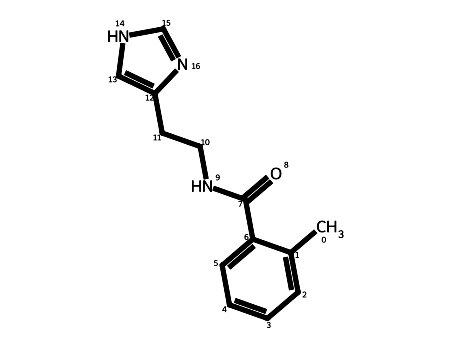 Cc1ccccc1C(=O)NCCc1c[nH]cn1